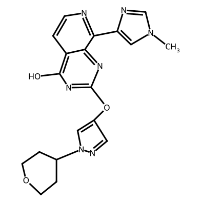 Cn1cnc(-c2nccc3c(O)nc(Oc4cnn(C5CCOCC5)c4)nc23)c1